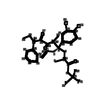 C=CC[C@@](CN(C)C(=O)CC(F)(F)F)(c1ccc(Cl)c(Cl)c1)N(C)C(=O)C(=O)N(CC)c1ccccc1